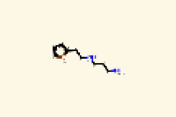 NCCCNCCc1cccs1